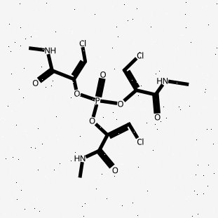 CNC(=O)/C(=C\Cl)OP(=O)(O/C(=C/Cl)C(=O)NC)O/C(=C/Cl)C(=O)NC